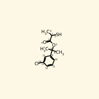 CC(S)C(=O)OC(C)(C)c1cccc(Cl)c1